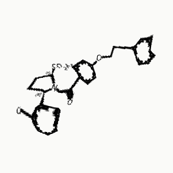 O=C(O)[C@@H]1CC[C@H](c2ccccc2Cl)N1C(=O)c1ccc(OCCc2ccccc2)cc1